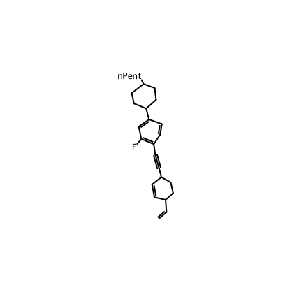 C=CC1C=CC(C#Cc2ccc(C3CCC(CCCCC)CC3)cc2F)CC1